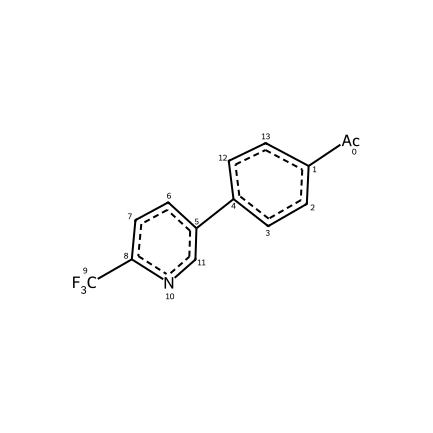 CC(=O)c1ccc(-c2ccc(C(F)(F)F)nc2)cc1